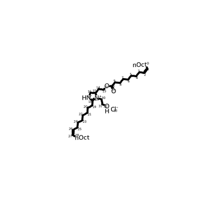 CCCCCCCC/C=C\CCCCCCCC(=O)OCCC1CNC(CCCCCCC/C=C\CCCCCCCC)=[N+]1CCO.[Cl-]